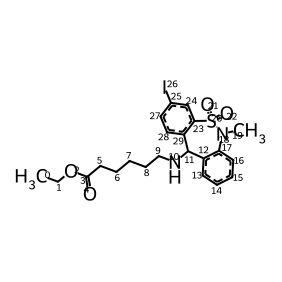 CCOC(=O)CCCCCNC1c2ccccc2N(C)S(=O)(=O)c2cc(I)ccc21